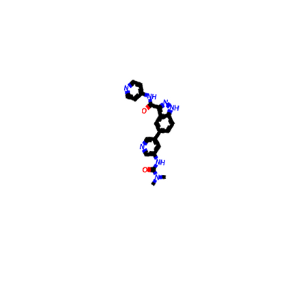 CN(C)C(=O)Nc1cncc(-c2ccc3[nH]nc(C(=O)Nc4ccncc4)c3c2)c1